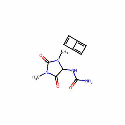 CN1C(=O)C(NC(N)=O)N(C)C1=O.c1cc2ccc1-2